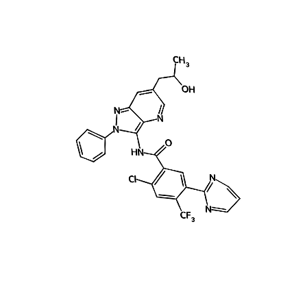 CC(O)Cc1cnc2c(NC(=O)c3cc(-c4ncccn4)c(C(F)(F)F)cc3Cl)n(-c3ccccc3)nc2c1